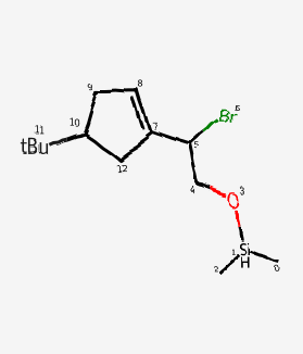 C[SiH](C)OCC(Br)C1=CCC(C(C)(C)C)C1